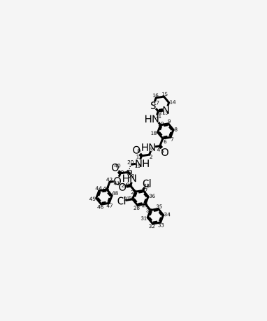 O=C(CNC(=O)c1cccc(NC2=NCCCS2)c1)NC[C@H](NC(=O)c1c(Cl)cc(-c2ccccc2)cc1Cl)C(=O)OCc1ccccc1